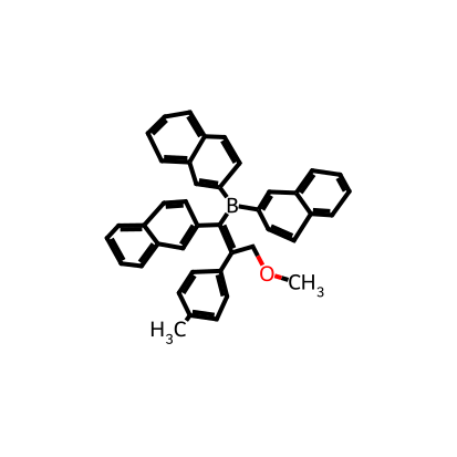 COC/C(=C(\B(c1ccc2ccccc2c1)c1ccc2ccccc2c1)c1ccc2ccccc2c1)c1ccc(C)cc1